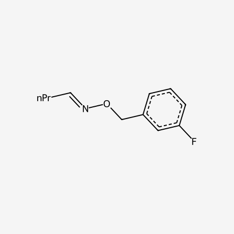 CCCC=NOCc1cccc(F)c1